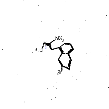 N/C(Cc1cccc2ccc(Br)cc12)=N/O